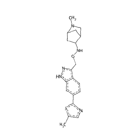 Cc1cnc(-c2ccc3c(CONC4CC5CC4CN5C)n[nH]c3c2)s1